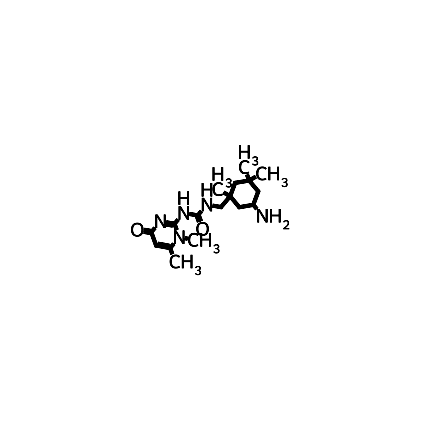 Cc1cc(=O)nc(NC(=O)NCC2(C)CC(N)CC(C)(C)C2)n1C